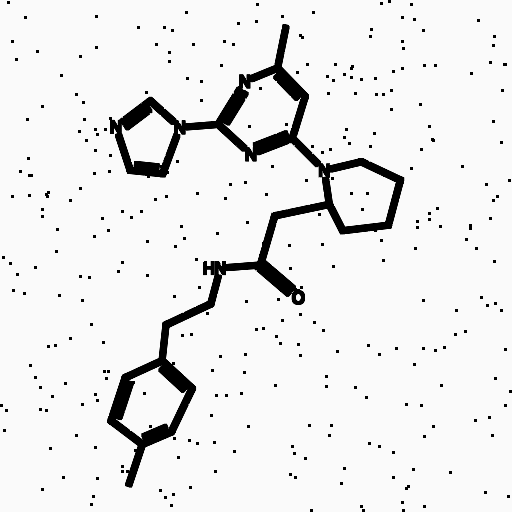 Cc1ccc(CCNC(=O)CC2CCCCN2c2cc(C)nc(-n3ccnc3)n2)cc1